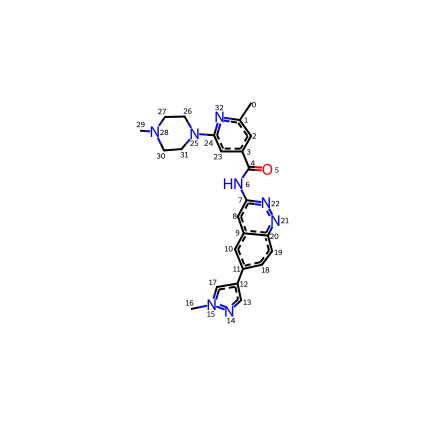 Cc1cc(C(=O)Nc2cc3cc(-c4cnn(C)c4)ccc3nn2)cc(N2CCN(C)CC2)n1